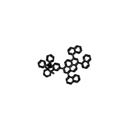 CC12CCCCC1(C)[Si](c1ccccc1)(c1ccccc1)c1ccc(-c3cc(-c4cccc5ccccc45)c4ccc5c(-c6cccc7ccccc67)cc(-c6cccc7ccccc67)c6ccc3c4c65)cc12